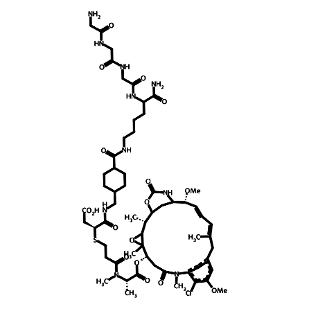 COc1cc2cc(c1Cl)N(C)C(=O)C[C@H](OC(=O)[C@H](C)N(C)C(=O)CCS[C@@H](CC(=O)O)C(=O)NCC1CCC(C(=O)NCCCCC(NC(=O)CNC(=O)CNC(=O)CN)C(N)=O)CC1)C1(C)OC1[C@H](C)C1CC(NC(=O)O1)[C@H](OC)/C=C/C=C(\C)C2